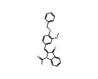 COc1cc(C=C2C(=O)c3ccccc3N2C(C)=O)ccc1OCc1ccccc1